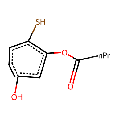 CCCC(=O)Oc1cc(O)ccc1S